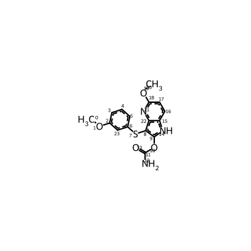 COc1cccc(Sc2c(OC(N)=O)[nH]c3ccc(OC)nc23)c1